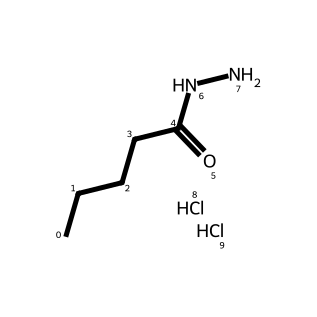 CCCCC(=O)NN.Cl.Cl